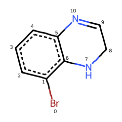 Brc1cccc2c1NCC=N2